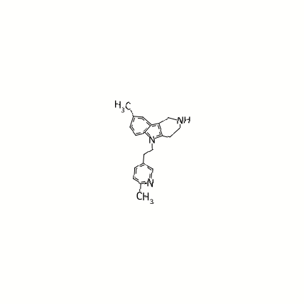 Cc1ccc2c(c1)c1c(n2CCc2ccc(C)nc2)CCNC1